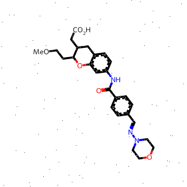 COCCC1Oc2cc(NC(=O)c3ccc(C=NN4CCOCC4)cc3)ccc2CC1CC(=O)O